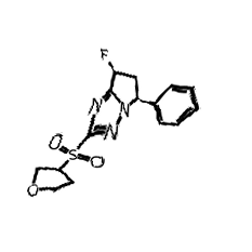 O=S(=O)(c1nc2n(n1)[C@H](c1ccccc1)C[C@@H]2F)C1CCOC1